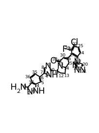 Nc1n[nH]c2cc(-c3cnc([C@@H]4CCC5CC(c6c(-n7cnnn7)ccc(Cl)c6F)=CC(=O)N54)[nH]3)ccc12